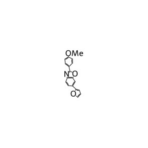 COc1ccc(-c2nc3ccc(-c4ccco4)cc3o2)cc1